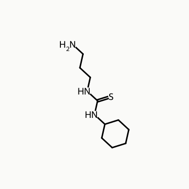 NCCCNC(=S)NC1CCCCC1